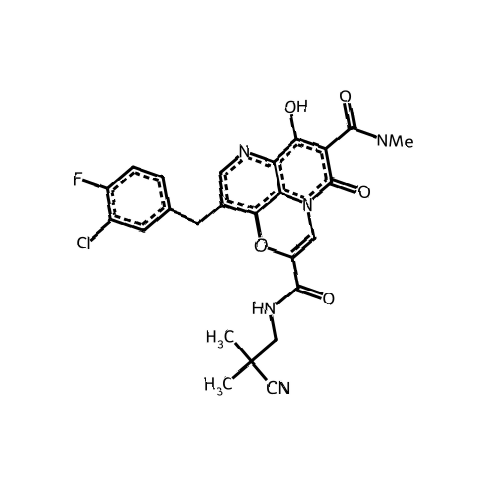 CNC(=O)c1c(O)c2ncc(Cc3ccc(F)c(Cl)c3)c3c2n(c1=O)C=C(C(=O)NCC(C)(C)C#N)O3